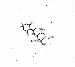 CO[C@H]1O[C@H](COC(C)=O)[C@@H](OC(C)=O)[C@H](OC(C)=O)[C@@H]1NC(C)=C1C(=O)CC(C)(C)CC1=O